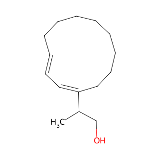 CC(CO)/C1=C/C=C/CCCCCCCC1